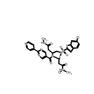 CNC(=O)CC1CN(S(=O)(=O)c2cc3ccc(Cl)cc3s2)CC(CC(=O)[NH+](C)[O-])N1C(=O)c1cnc(-c2ccncc2)nc1